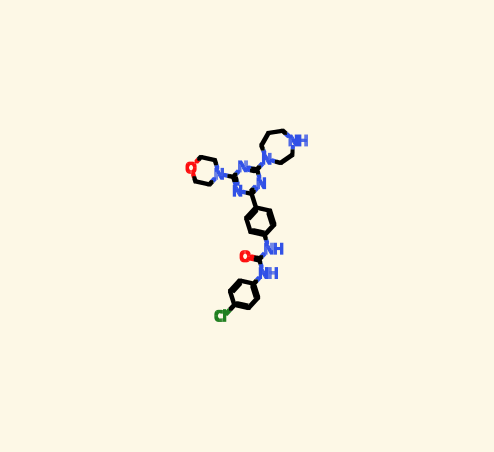 O=C(Nc1ccc(Cl)cc1)Nc1ccc(-c2nc(N3CCCNCC3)nc(N3CCOCC3)n2)cc1